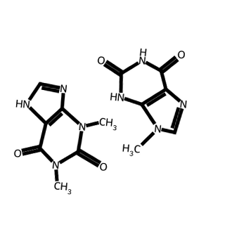 Cn1c(=O)c2[nH]cnc2n(C)c1=O.Cn1cnc2c(=O)[nH]c(=O)[nH]c21